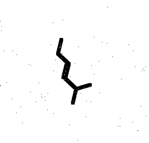 CC/C=C/C(C)C